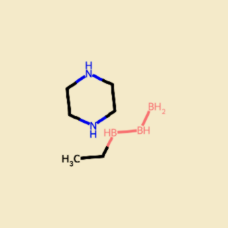 BBBCC.C1CNCCN1